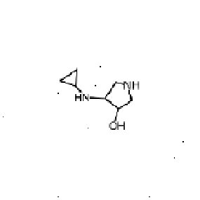 OC1CNCC1NC1CC1